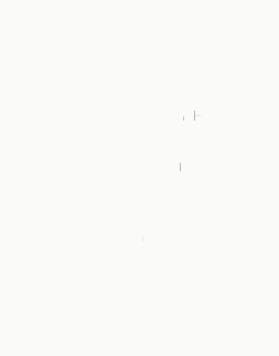 OCC1(F)CCCC1(F)F